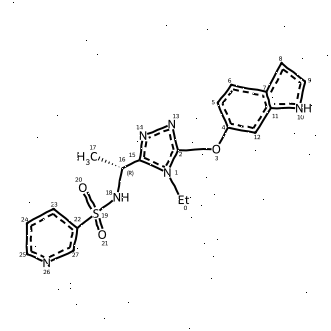 CCn1c(Oc2ccc3cc[nH]c3c2)nnc1[C@@H](C)NS(=O)(=O)c1cccnc1